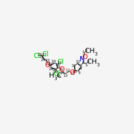 CCON=C(CC)c1ccc(OCCC(C)Oc2c(Cl)cc(OCC=C(Cl)Cl)cc2Cl)cc1